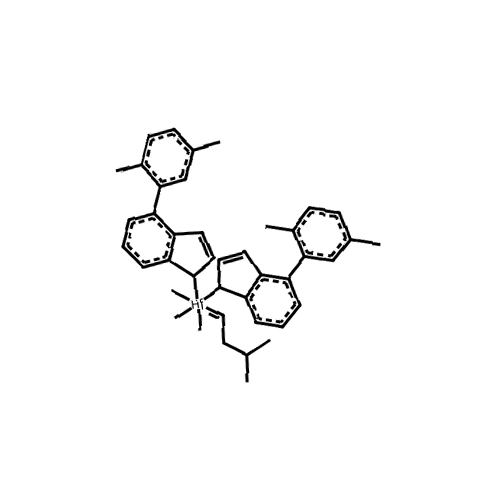 Cc1ccc(C)c(-c2cccc3c2C=C[CH]3[Hf]([CH3])([CH3])([CH3])(=[CH]CC(C)C)[CH]2C=Cc3c(-c4cc(C)ccc4C)cccc32)c1